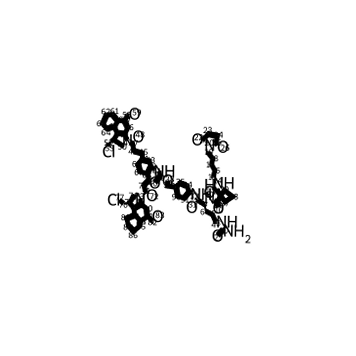 NC(=O)NCCC[C@H](NC(=O)C1(C(=O)NCCCCCN2C(=O)C=CC2=O)CCC1)C(=O)Nc1ccc(COC(=O)Nc2cc(/C=C/C(=O)N3C[C@@H](CCl)c4c3cc(C=O)c3ccccc43)ccc2/C=C/C(=O)N2C[C@@H](CCl)c3c2cc(C=O)c2ccccc32)cc1